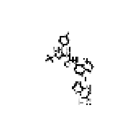 Cc1ccc(-n2nc(C(C)(C)C)cc2NC(=O)Nc2ccc(Oc3ccnc4[nH]c(=O)cnc34)c3cccnc23)cc1